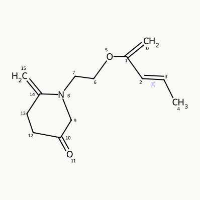 C=C(/C=C/C)OCCN1CC(=O)CCC1=C